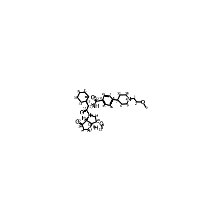 COCCN1CCC(c2ccc(C(=O)N[C@H](C(=O)N3C[C@H](OC)[C@H]4OCC(=O)[C@H]43)C3CCCCC3)cc2)CC1